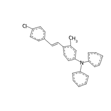 Cc1cc(N(c2ccccc2)c2ccccc2)ccc1C=Cc1ccc(Cl)cc1